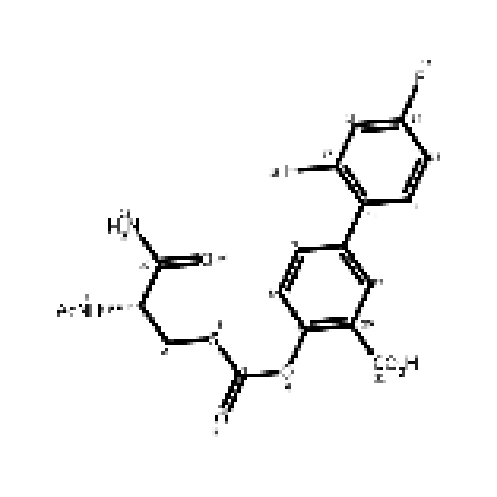 CC(=O)N[C@@H](CSC(=O)Oc1ccc(-c2ccc(F)cc2F)cc1C(=O)O)C(N)=O